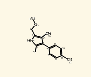 CCOCc1[nH]c(C)c(-c2ccc(C#N)cc2)c1C#N